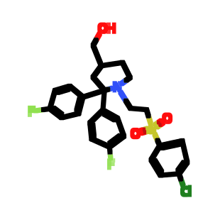 O=S(=O)(CCN1CCC(CO)CC1(c1ccc(F)cc1)c1ccc(F)cc1)c1ccc(Cl)cc1